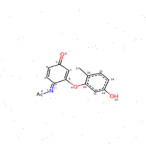 CC(=O)/N=C1\C=CC(=O)C=C1Oc1cc(O)ccc1C